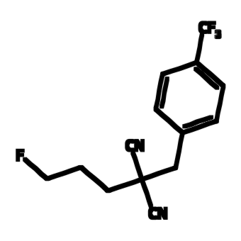 N#CC(C#N)(CCCF)Cc1ccc(C(F)(F)F)cc1